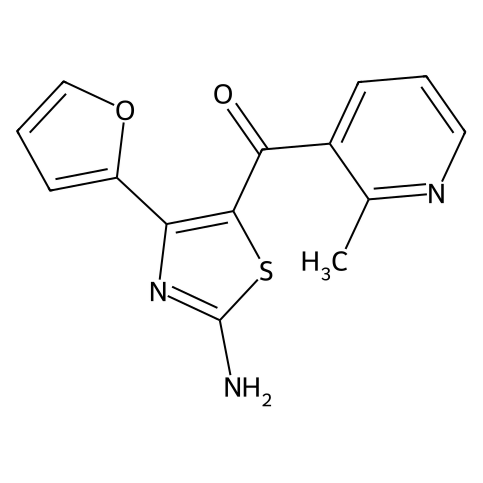 Cc1ncccc1C(=O)c1sc(N)nc1-c1ccco1